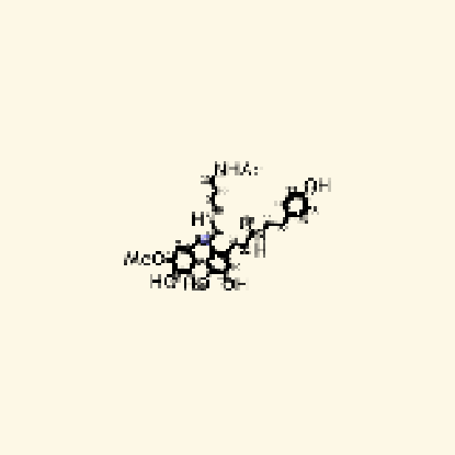 COc1cc(/C=C(/CNCCCCNC(C)=O)c2cc(O)c(O)cc2CCC(=O)NCCc2ccc(O)cc2)ccc1O